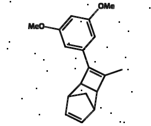 COc1cc(OC)cc(C2=C(C)C3C4C=CC(C4)C23)c1